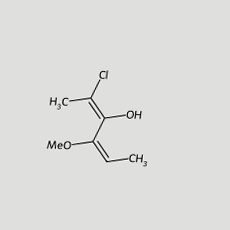 C/C=C(OC)\C(O)=C(/C)Cl